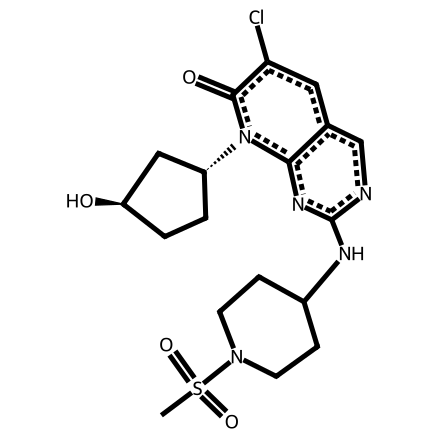 CS(=O)(=O)N1CCC(Nc2ncc3cc(Cl)c(=O)n([C@@H]4CC[C@@H](O)C4)c3n2)CC1